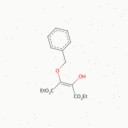 CCOC(=O)C(O)=C(OCc1ccccc1)C(=O)OCC